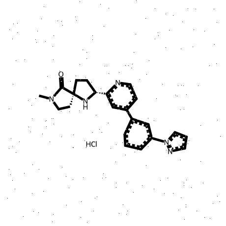 CN1CC[C@@]2(CC[C@H](c3cc(-c4cccc(-n5cccn5)c4)ccn3)N2)C1=O.Cl